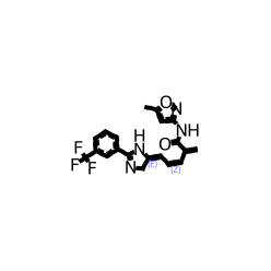 C=C(/C=C\C=C1/CN=C(c2cccc(C(F)(F)F)c2)N1)C(=O)Nc1cc(C)on1